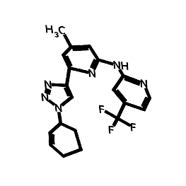 Cc1cc(Nc2cc(C(F)(F)F)ccn2)nc(-c2cn(C3C=CCCC3)nn2)c1